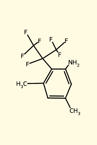 Cc1cc(C)c(C(F)(C(F)(F)F)C(F)(F)F)c(N)c1